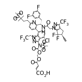 C#C[C@@H]1Cc2c(C(F)(F)F)nn(CC(=O)N[C@@H](Cc3cc(F)cc(F)c3)c3nc(CCC(C)(C)S(C)(=O)=O)ccc3-c3ccc(Cl)c4c(N(C(=O)OCOC(=O)/C=C/C(=O)O)S(C)(=O)=O)nn(CC(F)(F)F)c34)c2C1(F)F